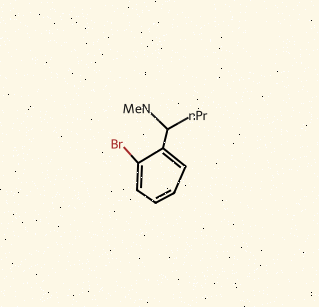 CCCC(NC)c1ccccc1Br